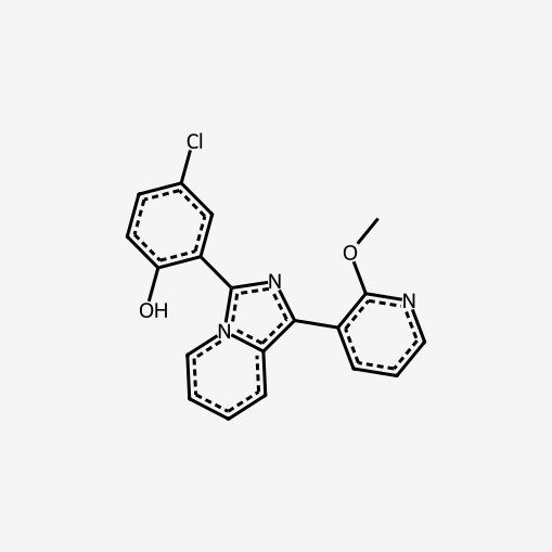 COc1ncccc1-c1nc(-c2cc(Cl)ccc2O)n2ccccc12